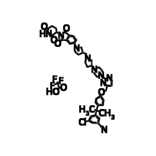 CC(C)(c1ccc(OCc2ccnc(N3CCN(C4CCN(CC5CCN(c6ccc7c(c6)C(=O)N(C6CCC(=O)NC6=O)C7=O)C5)C4)CC3)n2)cc1)c1cc(Cl)cc(C#N)c1.O=C(O)C(F)(F)F